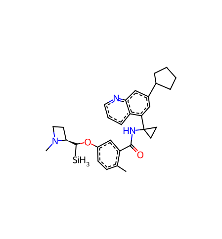 Cc1ccc(OC([SiH3])[C@@H]2CCN2C)cc1C(=O)NC1(c2cc(C3CCCC3)cc3ncccc23)CC1